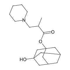 CC(CN1CCCCC1)C(=O)OC12CC3CC(CC(O)(C3)C1)C2